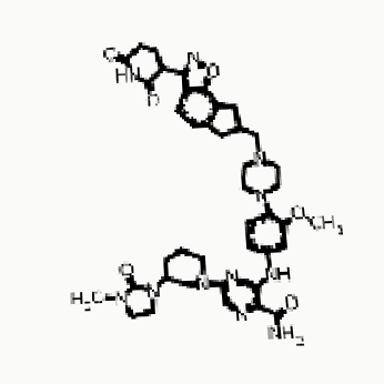 COc1cc(Nc2nc(N3CCCC(N4CCN(C)C4=O)C3)cnc2C(N)=O)ccc1N1CCN(CC2Cc3ccc4c(C5CCC(=O)NC5=O)noc4c3C2)CC1